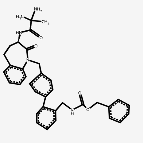 CC(C)(N)C(=O)N[C@@H]1CCc2ccccc2N(Cc2ccc(-c3ccccc3CNC(=O)OCc3ccccc3)cc2)C1=O